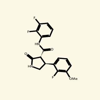 COc1cccc([C@H]2CNC(=O)[C@@H]2C(=O)Nc2cccc(F)c2F)c1F